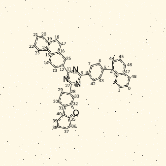 c1ccc2c(-c3ccc(-c4nc(-c5ccc6c(ccc7ccccc76)c5)nc(-c5ccc6c(c5)oc5ccccc56)n4)cc3)cccc2c1